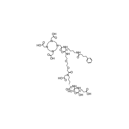 O=C(O)CC[C@H](NC(=O)N[C@@H](CCCCN(CC(=O)O)C(=O)COCCOCCNC(=O)[C@H](CCCCNC(=O)CCCc1ccccc1)NC(=O)CN1CCN(CC(=O)O)CCN(CC(=O)O)CCN(CC(=O)O)CC1)C(=O)O)C(=O)O